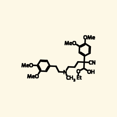 CCOC(O)C(C#N)(CCCN(C)CCc1ccc(OC)c(OC)c1)c1ccc(OC)c(OC)c1